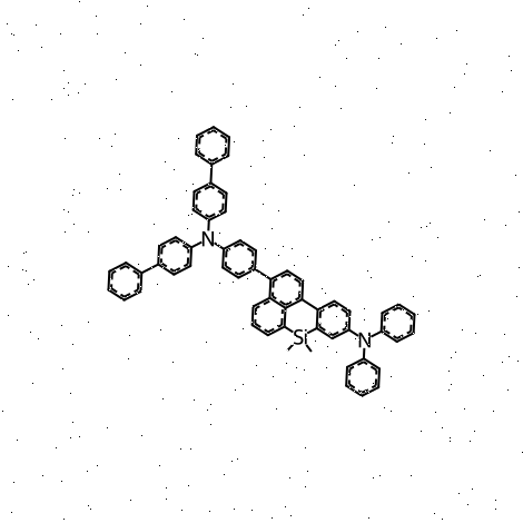 C[Si]1(C)c2cc(N(c3ccccc3)c3ccccc3)ccc2-c2ccc(-c3ccc(N(c4ccc(-c5ccccc5)cc4)c4ccc(-c5ccccc5)cc4)cc3)c3cccc1c23